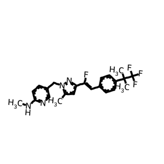 CNc1ccc(Cn2nc(C(F)=Cc3ccc(C(C)(C)C(F)(F)F)cc3)cc2C)cn1